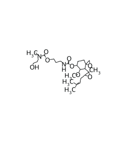 COC1C(OC(=O)NCCCOC(=O)N(C)CCO)CCC2(CO2)C1C1(C)OC1CC=C(C)C